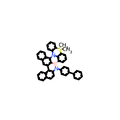 CS1(C)c2ccccc2N2c3c(cccc31)B1c3c(cc4ccccc4c32)-c2c(ccc3ccccc23)N1c1ccc(-c2ccccc2)cc1